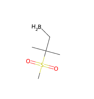 BCC(C)(C)S(C)(=O)=O